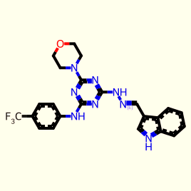 FC(F)(F)c1ccc(Nc2nc(N/N=C/c3c[nH]c4ccccc34)nc(N3CCOCC3)n2)cc1